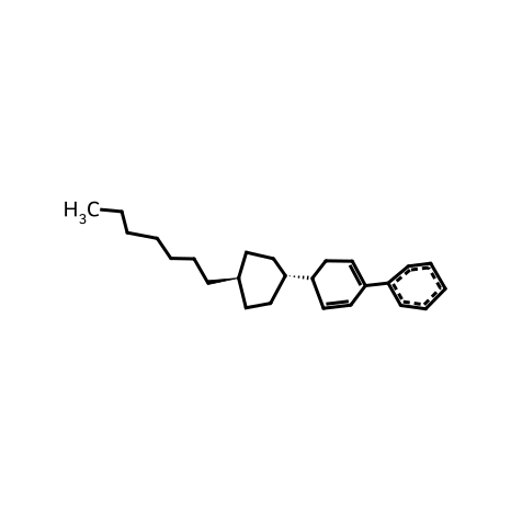 CCCCCCC[C@H]1CC[C@H](C2C=CC(c3ccccc3)=CC2)CC1